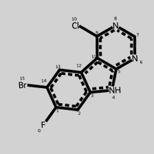 Fc1cc2[nH]c3ncnc(Cl)c3c2cc1Br